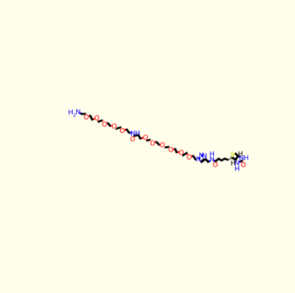 NCCOCCOCCOCCOCCOCCNC(=O)CCOCCOCCOCCOCCOCCOCCn1cc(CNC(=O)CCCC[C@@H]2SC[C@@H]3NC(=O)N[C@@H]32)nn1